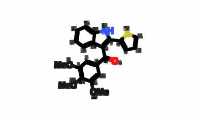 COc1cc(C(=O)c2c(-c3cccs3)[nH]c3ccccc23)cc(OC)c1OC